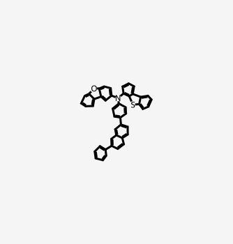 c1ccc(-c2ccc3ccc(-c4ccc(N(c5ccc6oc7ccccc7c6c5)c5cccc6c5sc5ccccc56)cc4)cc3c2)cc1